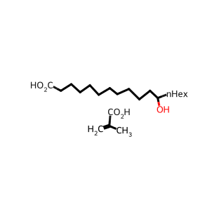 C=C(C)C(=O)O.CCCCCCC(O)CCCCCCCCCCC(=O)O